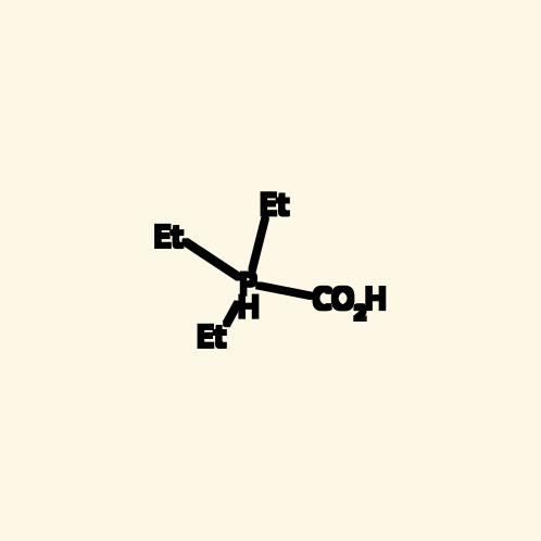 CC[PH](CC)(CC)C(=O)O